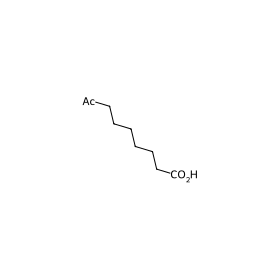 CC(=O)CCCCCCC(=O)O